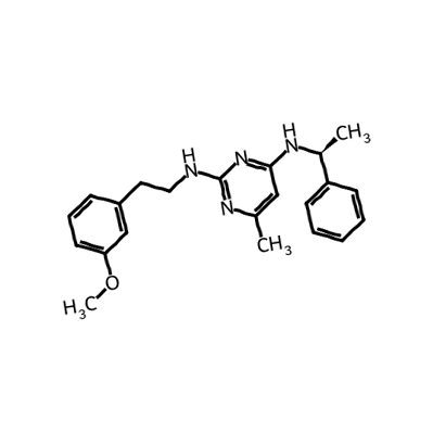 COc1cccc(CCNc2nc(C)cc(N[C@@H](C)c3ccccc3)n2)c1